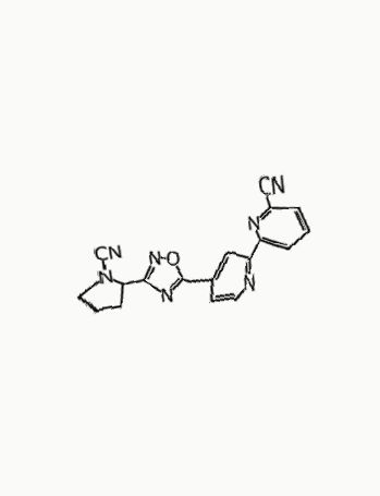 N#Cc1cccc(-c2cc(-c3nc(C4CCCN4C#N)no3)ccn2)n1